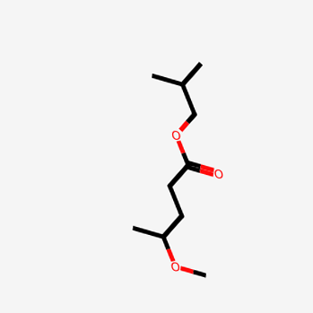 COC(C)CCC(=O)OCC(C)C